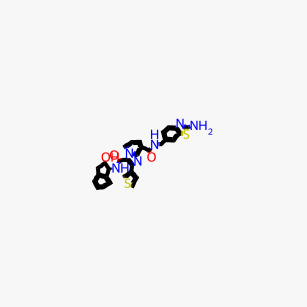 Nc1nc2ccc(CNC(=O)c3cccn4c(C(=O)N[C@H]5c6ccccc6C[C@H]5O)c(-c5ccsc5)nc34)cc2s1